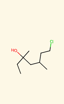 CCC(C)(O)CC(C)CCCl